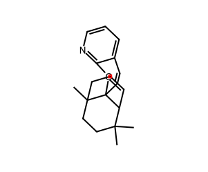 CC1(C)CCC2(C)CC=CC1C21C=Cc2cccnc2O1